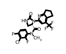 CN(C(=O)[C@@H]1CNC(=O)N1c1cc(C(F)(F)F)c2c(n1)CCC2)c1ccc(F)c(Cl)c1F